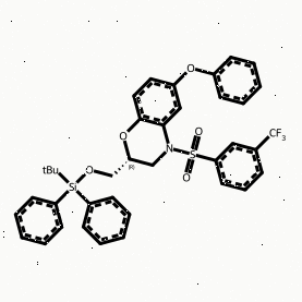 CC(C)(C)[Si](OC[C@H]1CN(S(=O)(=O)c2cccc(C(F)(F)F)c2)c2cc(Oc3ccccc3)ccc2O1)(c1ccccc1)c1ccccc1